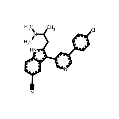 CC(Cc1[nH]c2ccc(C#N)cc2c1-c1cncc(-c2ccc(Cl)cc2)c1)N(C)C